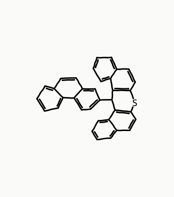 c1ccc2c3c(ccc2c1)Sc1ccc2ccccc2c1C3c1ccc2c(ccc3ccccc32)c1